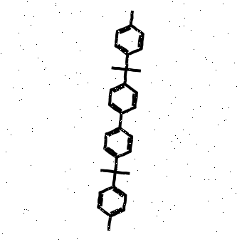 Cc1ccc(C(C)(C)c2ccc(-c3ccc(C(C)(C)c4ccc(C)cc4)cc3)cc2)cc1